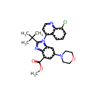 COC(=O)c1cc(N2CCOCC2)cc2c1nc(C(C)(C)C)n2-c1ccnc2c(Cl)cccc12